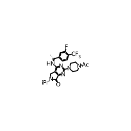 CC(=O)N1CCN(c2nc(N[C@H](C)c3ccc(C(F)(F)F)c(F)c3)c3c(n2)C(=O)N(C(C)C)C3)CC1